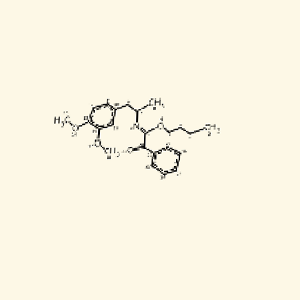 CCCCOC(=NC(C)Cc1ccc(OC)c(OC)c1)C(=O)c1ccccc1